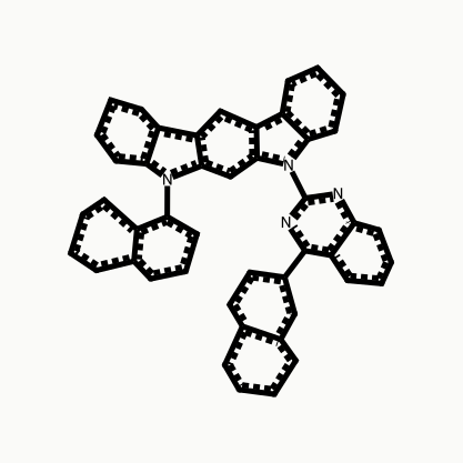 c1ccc2cc(-c3nc(-n4c5ccccc5c5cc6c7ccccc7n(-c7cccc8ccccc78)c6cc54)nc4ccccc34)ccc2c1